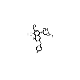 CCN(C)c1cc(C=O)c(O)c2ncc(Cc3ccc(F)cc3)cc12